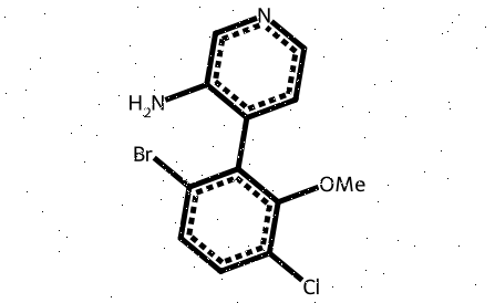 COc1c(Cl)ccc(Br)c1-c1ccncc1N